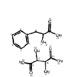 NC(Cc1ccccc1)C(=O)O.O=C(O)C(O)C(O)C(=O)O